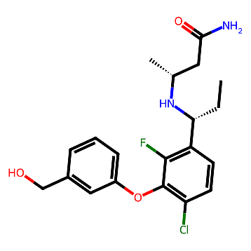 CC[C@@H](N[C@H](C)CC(N)=O)c1ccc(Cl)c(Oc2cccc(CO)c2)c1F